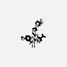 COc1cccc([C@H](C)Nc2nc(CN3CC(N4CCC(F)(F)C4)C3)nc3c(C(C)C)cnn23)c1